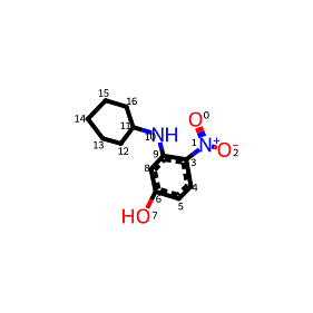 O=[N+]([O-])c1ccc(O)cc1NC1CCCCC1